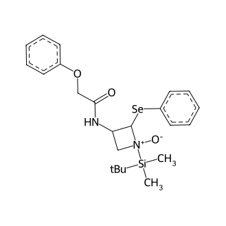 CC(C)(C)[Si](C)(C)[N+]1([O-])CC(NC(=O)COc2ccccc2)C1[Se]c1ccccc1